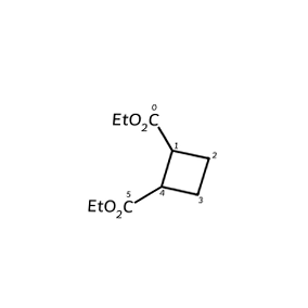 CCOC(=O)C1CCC1C(=O)OCC